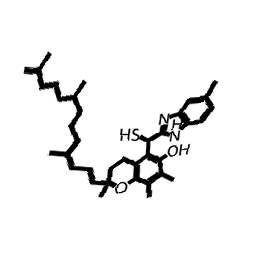 Cc1ccc2[nH]c(C(S)c3c(O)c(C)c(C)c4c3CCC(C)(CCCC(C)CCCC(C)CCCC(C)C)O4)nc2c1